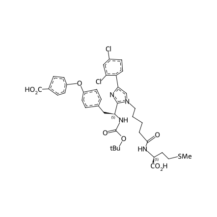 CSCC[C@H](NC(=O)CCCCn1cc(-c2ccc(Cl)cc2Cl)nc1[C@H](Cc1ccc(Oc2ccc(C(=O)O)cc2)cc1)NC(=O)OC(C)(C)C)C(=O)O